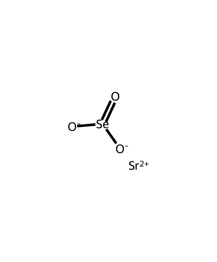 O=[Se]([O-])[O-].[Sr+2]